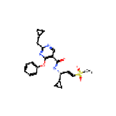 CS(=O)(=O)/C=C/[C@@H](NC(=O)c1cnc(CC2CC2)nc1Oc1ccccc1)C1CC1